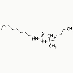 CCCCCCCCNC(=S)NC(C)(C)CCCCC